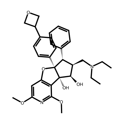 CCN(CC)C[C@H]1[C@@H](O)[C@@]2(O)c3c(cc(OC)nc3OC)O[C@@]2(c2ccc(C3COC3)cc2)[C@@H]1c1ccccc1